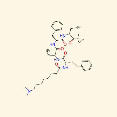 CC(C)C[C@H](NC(=O)[C@H](CCc1ccccc1)NC(=O)CCCCCCCN(C)C)C(=O)N[C@@H](Cc1ccccc1)C(=O)N[C@@H](CC(C)C)C(=O)C1(C)CC1